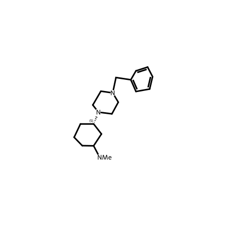 CNC1CCC[C@H](N2CCN(Cc3ccccc3)CC2)C1